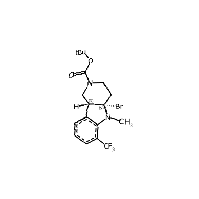 CN1c2c(cccc2C(F)(F)F)[C@@H]2CN(C(=O)OC(C)(C)C)CC[C@]21Br